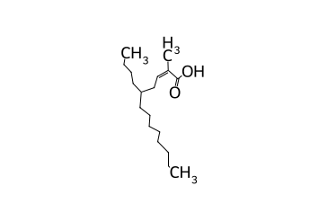 CCCCCCCCC(CC=C(C)C(=O)O)CCCC